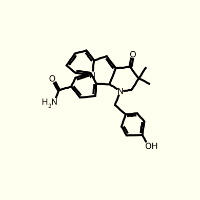 CC1(C)CN(Cc2ccc(O)cc2)C(c2ccc(C(N)=O)cc2)/C(=C\c2ccccn2)C1=O